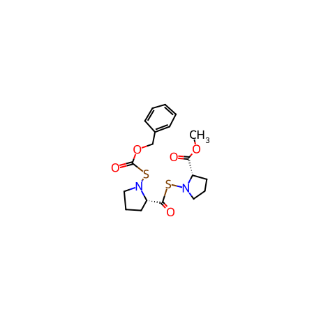 COC(=O)[C@@H]1CCCN1SC(=O)[C@@H]1CCCN1SC(=O)OCc1ccccc1